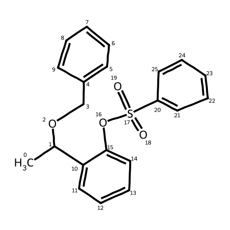 CC(OCc1ccccc1)c1ccccc1OS(=O)(=O)c1ccccc1